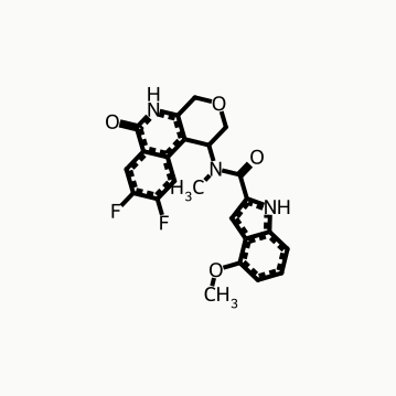 COc1cccc2[nH]c(C(=O)N(C)C3COCc4[nH]c(=O)c5cc(F)c(F)cc5c43)cc12